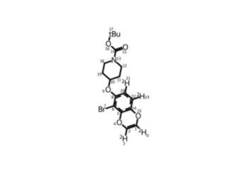 [2H]C1=C([2H])Oc2c(Br)c(OC3CCN(C(=O)OC(C)(C)C)CC3)c([2H])c([2H])c2O1